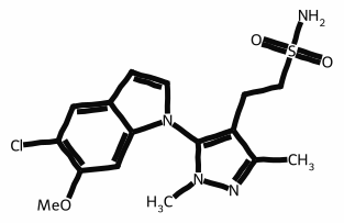 COc1cc2c(ccn2-c2c(CCS(N)(=O)=O)c(C)nn2C)cc1Cl